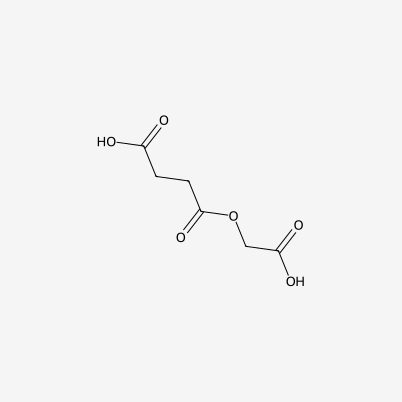 O=C(O)CCC(=O)OCC(=O)O